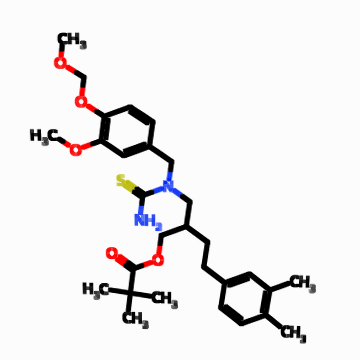 COCOc1ccc(CN(CC(CCc2ccc(C)c(C)c2)COC(=O)C(C)(C)C)C(N)=S)cc1OC